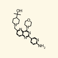 CC(C)(O)C1CCN(Cc2ccc3nc(-c4ccc(N)nc4)nc(N4CCOCC4)c3n2)CC1